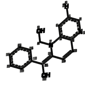 [2H]c1cnc2c(c1)N(CO)C(=C(O)c1ccccc1)C=C2